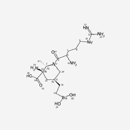 C[C@@H]1N(C(=O)C(N)CCCNC(=N)N)C[C@@H](CCB(O)O)C[C@]1(N)C(=O)O